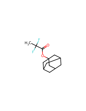 CC(F)(F)C(=O)OC12CC3CC(CC(C3)C1)C2